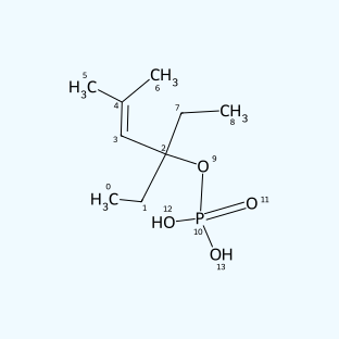 CCC(C=C(C)C)(CC)OP(=O)(O)O